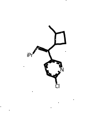 CC(C)/C=C(\c1ccc(Cl)nc1)C1CCC1C